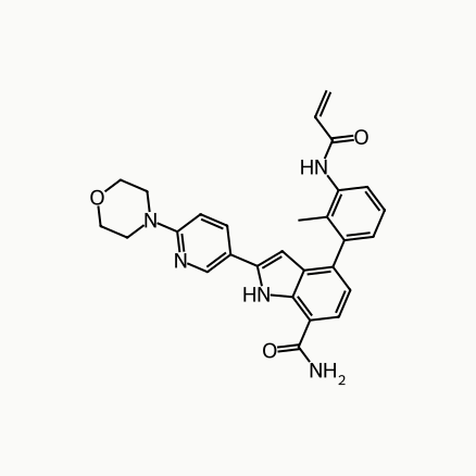 C=CC(=O)Nc1cccc(-c2ccc(C(N)=O)c3[nH]c(-c4ccc(N5CCOCC5)nc4)cc23)c1C